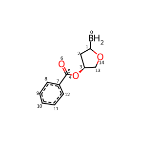 BC1C[C@H](OC(=O)c2ccccc2)CO1